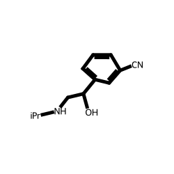 CC(C)NCC(O)c1cccc(C#N)c1